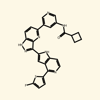 O=C(Nc1cncc(-c2ccc3[nH]nc(-c4cc5c(-c6ccc(F)s6)nccc5[nH]4)c3n2)c1)C1CCC1